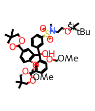 COCOc1ccc(C2OCC(C)(C)CO2)cc1C(O)(c1cccc(S(=O)(=O)N(C)CCO[Si](C)(C)C(C)(C)C)c1)c1cc(C2OCC(C)(C)CO2)ccc1OCOC